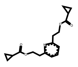 O=C(OCCc1cccc(CCOC(=O)C2CC2)n1)C1CC1